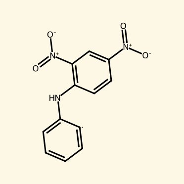 O=[N+]([O-])c1ccc(Nc2[c]cccc2)c([N+](=O)[O-])c1